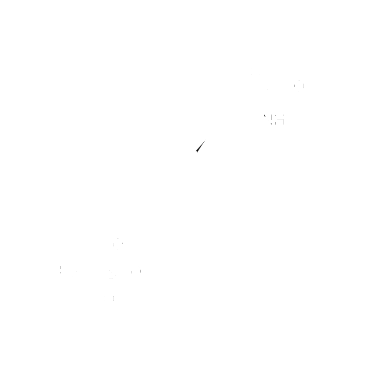 O=C1NC[C@@H](c2ccc3c(c2)CCC(OS(=O)(=O)C(F)(F)F)=C3)CCCO1